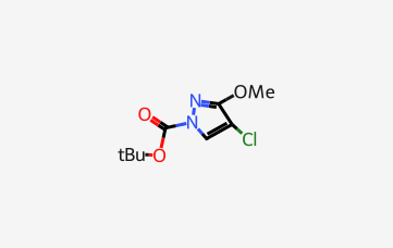 COc1nn(C(=O)OC(C)(C)C)cc1Cl